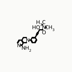 CCN(C)C(=O)[C@H](O)C#Cc1cccc(N2CCc3ccnc(N)c3C2)c1